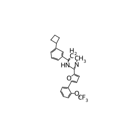 C=C(N/C(=N\C)c1ccc(-c2ccccc2OC(F)(F)F)o1)c1cccc(C2CCC2)c1